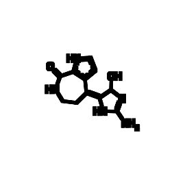 NC1=NC(O)C(=C2CCNC(=O)c3[nH]ccc32)N1